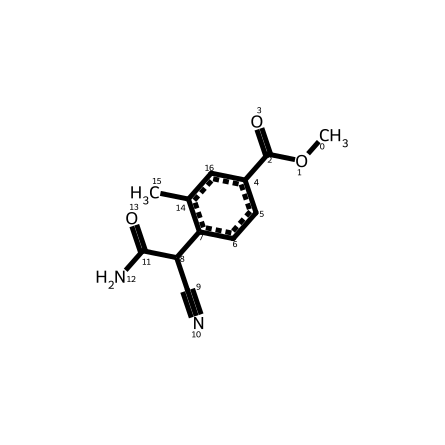 COC(=O)c1ccc(C(C#N)C(N)=O)c(C)c1